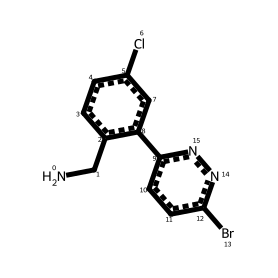 NCc1ccc(Cl)cc1-c1ccc(Br)nn1